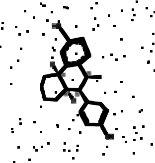 C[C@@H]1c2ccc(O)cc2[C@@H]2CCCC[C@@H]2[C@@H]1C1C=CC(O)=CC1